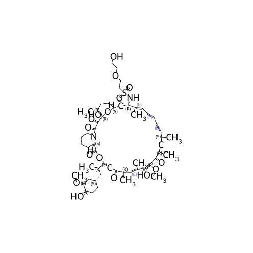 CO[C@@H]1C[C@H](C[C@@H](C)[C@@H]2CC(=O)[C@H](C)/C=C(\C)[C@@H](O)[C@@H](OC)C(=O)[C@H](C)C[C@H](C)/C=C/C=C/C=C(\C)[C@H](NS(=O)(=O)CCOCCO)C[C@@H]3CC[C@@H](C)[C@@](O)(O3)C(=O)C(=O)N3CCCC[C@H]3C(=O)O2)CC[C@H]1O